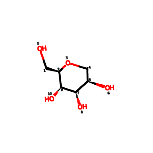 OC[C@H]1O[CH][C@@H](O)[C@H](O)[C@@H]1O